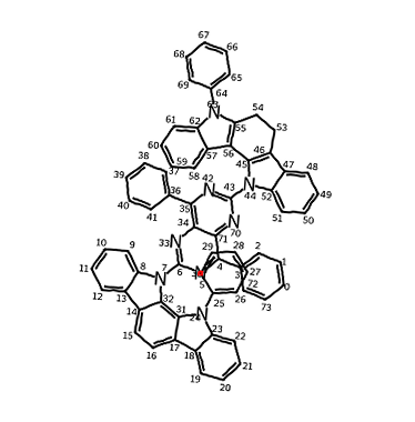 c1ccc(-c2nc(-n3c4ccccc4c4ccc5c6ccccc6n(-c6ccccc6)c5c43)nc3c(-c4ccccc4)nc(-n4c5c(c6ccccc64)CCc4c-5c5ccccc5n4-c4ccccc4)nc23)cc1